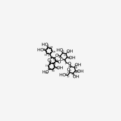 O=c1c(O[C@@H]2OC(CO[C@@H]3OC(CO)[C@@H](O)[C@H](O)C3O)[C@H](O)C(O)C2O)c(-c2ccc(O)c(O)c2)oc2cc(O)cc(O)c12